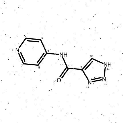 O=C(Nc1ccncc1)c1c[nH]nn1